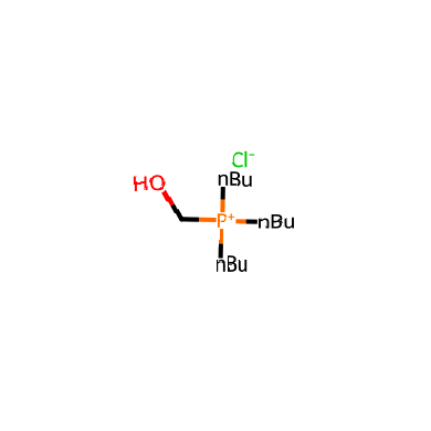 CCCC[P+](CO)(CCCC)CCCC.[Cl-]